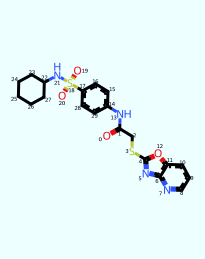 O=C(CSc1nc2ncccc2o1)Nc1ccc(S(=O)(=O)NC2CCCCC2)cc1